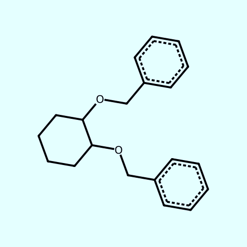 c1ccc(COC2CCCCC2OCc2ccccc2)cc1